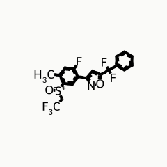 Cc1cc(F)c(-c2cc(C(F)(F)c3ccccc3)on2)cc1[S+]([O-])CC(F)(F)F